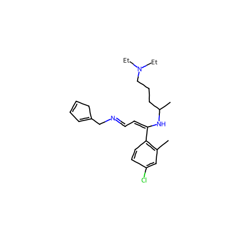 CCN(CC)CCCC(C)N/C(=C/C=N/CC1=CC=CC1)c1ccc(Cl)cc1C